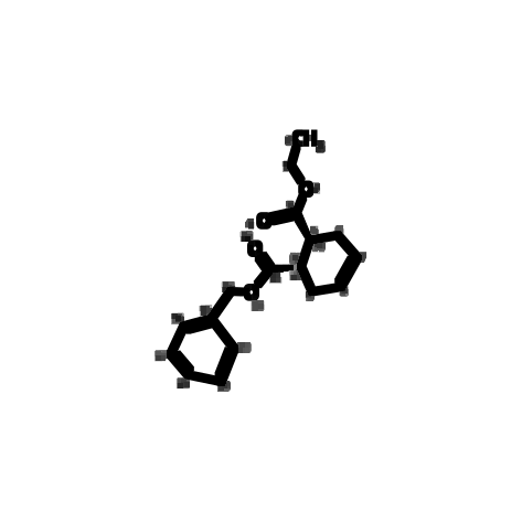 CCOC(=O)[C@H]1CC=CC[C@@H]1C(=O)OCc1ccccc1